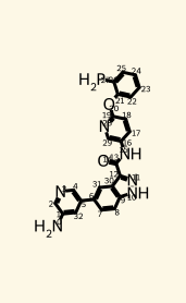 Nc1cncc(-c2ccc3[nH]nc(C(=O)Nc4ccc(Oc5ccccc5P)nc4)c3c2)c1